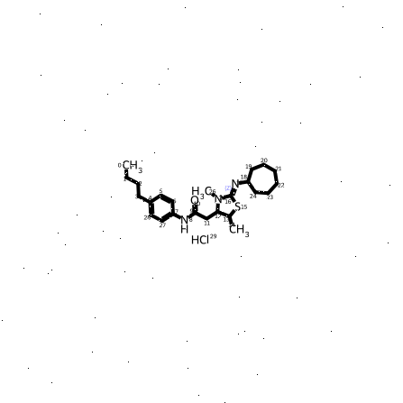 CCCCc1ccc(NC(=O)CC2C(C)S/C(=N\C3CCCCCC3)N2C)cc1.Cl